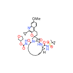 COc1ccc2c3c(c(C4CC4)nc2c1)O[C@]1(CC3)C[C@H]2C(=O)N[C@]3(C(=O)NS(=O)(=O)C4(C)CC4)C[C@H]3/C=C\CCCCC[C@H](NC(=O)OC3CCOC3)C(=O)N2C1